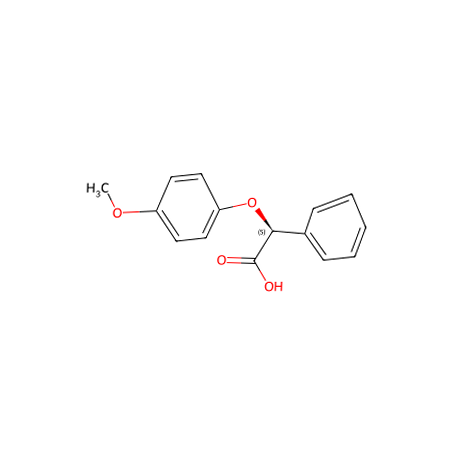 COc1ccc(O[C@H](C(=O)O)c2ccccc2)cc1